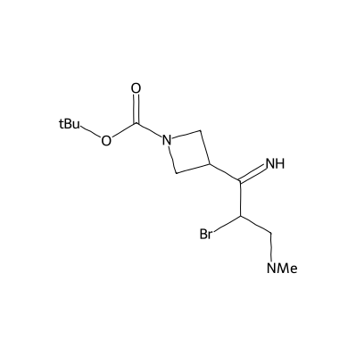 CNCC(Br)C(=N)C1CN(C(=O)OC(C)(C)C)C1